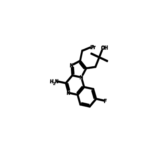 CC(C)Cc1nc2c(N)nc3ccc(F)cc3n2c1CC(C)(C)O